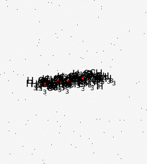 C[SiH](C)O[Si](C)(C)CC[Si](C)(C)O[Si](C)(C)CC[Si](C)(C)O[Si](C)(C)CC[Si](C)(C)O[Si](C)(C)CC[Si](C)(C)O[Si](C)(C)CC[Si](C)(C)O[Si](C)(C)CC[Si](C)(C)O[Si](C)(C)CC[Si](C)(C)O[Si](C)(C)C